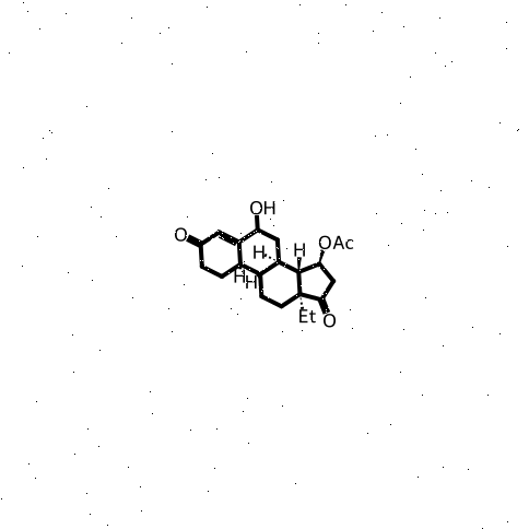 CC[C@]12CC[C@H]3[C@@H](CC(O)C4=CC(=O)CC[C@@H]43)[C@@H]1[C@@H](OC(C)=O)CC2=O